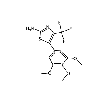 COc1cc(-c2sc(N)nc2C(F)(F)F)cc(OC)c1OC